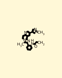 C=CC(=O)Nc1ccccc1-c1nc2c3cc(-c4cnn(C)c4)cnc3ccn2c1C